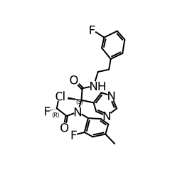 Cc1ccc(N(C(=O)[C@H](F)Cl)[C@](C)(C(=O)NCCc2cccc(F)c2)c2cncnc2)c(F)c1